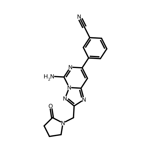 N#Cc1cccc(-c2cc3nc(CN4CCCC4=O)nn3c(N)n2)c1